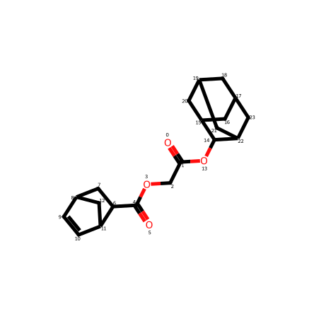 O=C(COC(=O)C1CC2C=CC1C2)OC1C2CC3CC(C2)CC1C3